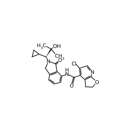 CC(C)(O)[C@H](C1CC1)N1Cc2cccc(NC(=O)c3c(Cl)cnc4c3CCO4)c2C1=O